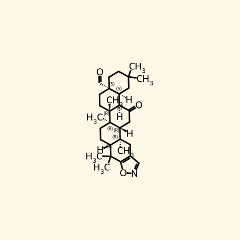 CC1(C)CC[C@]2(C=O)CC[C@]3(C)[C@H](C(=O)C[C@@H]4[C@@]5(C)Cc6cnoc6C(C)(C)[C@@H]5CC[C@]43C)[C@@H]2C1